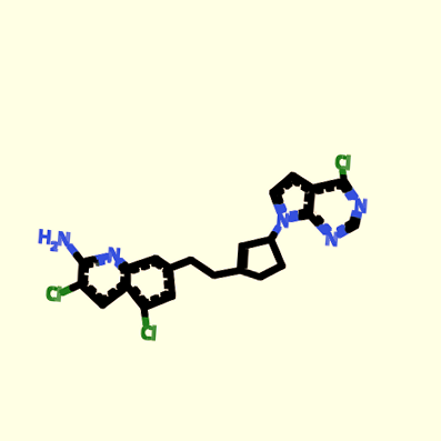 Nc1nc2cc(CCC3=CC(n4ccc5c(Cl)ncnc54)CC3)cc(Cl)c2cc1Cl